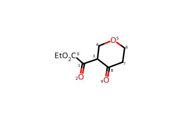 CCOC(=O)C(=O)C1COCCC1=O